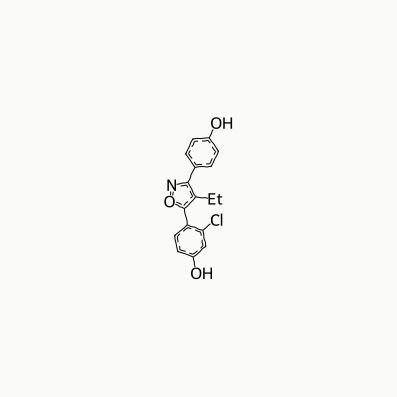 CCc1c(-c2ccc(O)cc2)noc1-c1ccc(O)cc1Cl